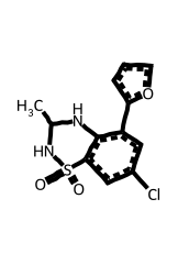 CC1Nc2c(-c3ccco3)cc(Cl)cc2S(=O)(=O)N1